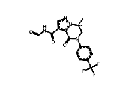 C[C@H]1CN(c2ccc(C(F)(F)F)cc2)C(=O)c2c(C(=O)NC=O)cnn21